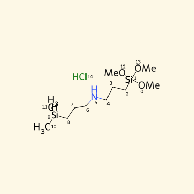 CO[Si](CCCNCCC[SiH](C)C)(OC)OC.Cl